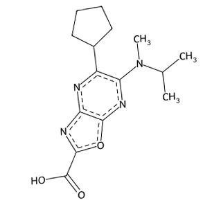 CC(C)N(C)c1nc2oc(C(=O)O)nc2nc1C1CCCC1